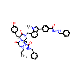 C=CCN1CC(=O)N2[C@@H](Cc3ccc(O)cc3)C(=O)N(Cc3cccc4c(-c5ccc(C(=O)NNCc6ccccc6)cc5)cn(C)c34)C[C@@H]2N1C(=O)NCc1ccccc1